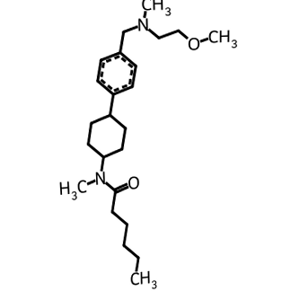 CCCCCC(=O)N(C)C1CCC(c2ccc(CN(C)CCOC)cc2)CC1